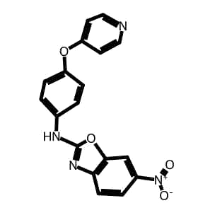 O=[N+]([O-])c1ccc2nc(Nc3ccc(Oc4ccncc4)cc3)oc2c1